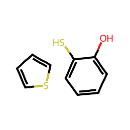 Oc1ccccc1S.c1ccsc1